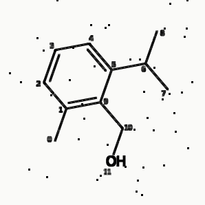 Cc1cccc(C(C)C)c1CO